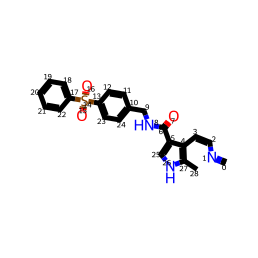 C=N/C=C\c1c(C(=O)NCc2ccc(S(=O)(=O)c3ccccc3)cc2)c[nH]c1C